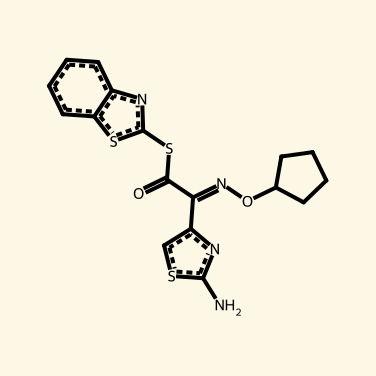 Nc1nc(C(=NOC2CCCC2)C(=O)Sc2nc3ccccc3s2)cs1